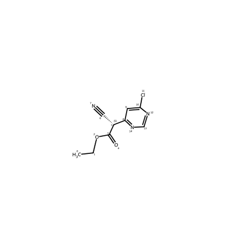 CCOC(=O)[C@H](C#N)c1cc(Cl)ncn1